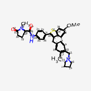 COc1ccc2c(Cc3ccc(CN4CCCC4)c(C)c3)c(-c3ccc(NC(=O)C4CCC(=O)N4C)cc3)sc2c1